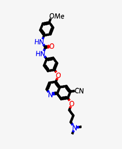 COc1ccc(NC(=O)Nc2ccc(Oc3ccnc4cc(OCCCN(C)C)c(C#N)cc34)cc2)cc1